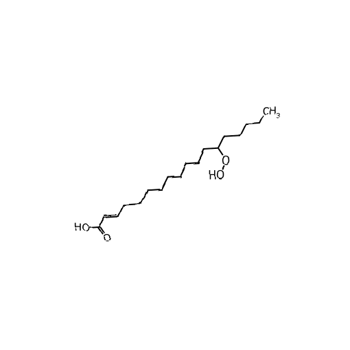 CCCCCC(CCCCCCCCCC=CC(=O)O)OO